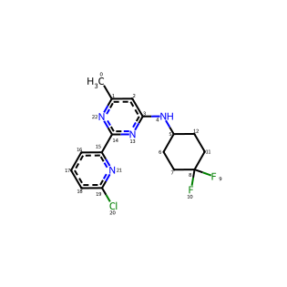 Cc1cc(NC2CCC(F)(F)CC2)nc(-c2cccc(Cl)n2)n1